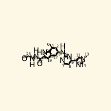 Cc1cc(Nc2nccc(-c3cn(C)cn3)n2)cc2cc(C(=O)NNC=O)[nH]c12